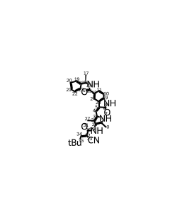 Cc1[nH]c(/C=C2\C(=O)Nc3ccc(C(=O)N[C@H](C)c4ccccc4)cc32)c(C)c1NC(=O)/C(C#N)=C/C(C)(C)C